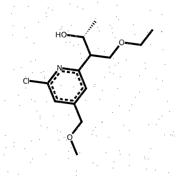 CCOCC(c1cc(COC)cc(Cl)n1)[C@@H](C)O